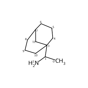 CC(N)C12CCCC(CCC1)C2